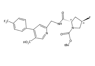 CC(C)(C)OC(=O)N1C[C@H](F)C[C@H]1C(=O)NCc1cc(-c2ccc(C(F)(F)F)cc2)c(C(=O)O)cn1